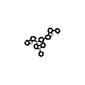 c1ccc(-c2cccc3c2oc2ccc(-c4ccc(N(c5cccc6c5oc5ccccc56)c5cccc6c5c5ccccc5n6-c5ccccc5)cc4)cc23)cc1